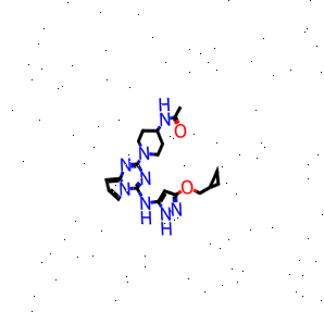 CC(=O)NC1CCN(c2nc(Nc3cc(OCC4CC4)n[nH]3)n3cccc3n2)CC1